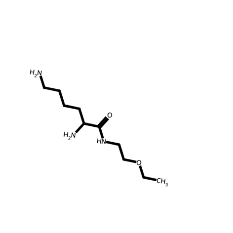 CCOCCNC(=O)C(N)CCCCN